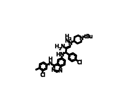 Cc1ccc(Nc2ncnc3ccc(NC(/C(N)=C/N(N)C4CCN(C(C)(C)C)CC4)c4ccc(Cl)cc4)cc23)cc1Cl